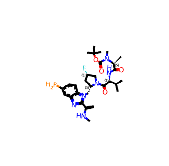 C=C(NC)c1nc2cc(P)ccc2n1C[C@@H]1C[C@H](F)CN1C(=O)[C@@H](NC(=O)[C@H](C)N(C)C(=O)OC(C)(C)C)C(C)C